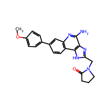 COc1ccc(-c2ccc3c(c2)nc(N)c2nc(CN4CCCC4=O)[nH]c23)cc1